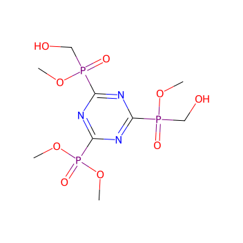 COP(=O)(CO)c1nc(P(=O)(CO)OC)nc(P(=O)(OC)OC)n1